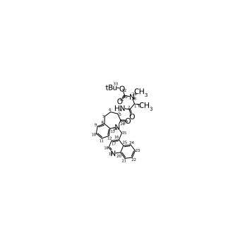 C[C@@H](C(=O)N[C@H]1CCc2ccccc2N(Cc2ccnc3ccccc23)C1=O)N(C)C(=O)OC(C)(C)C